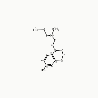 CN(CCO)CCN1CCCc2cc(Br)ccc21